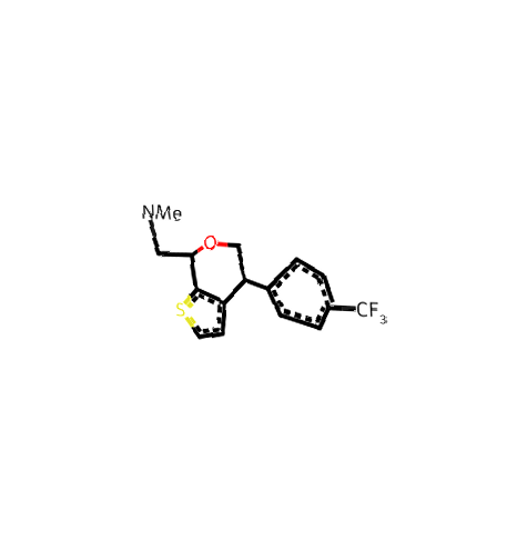 CNCC1OCC(c2ccc(C(F)(F)F)cc2)c2ccsc21